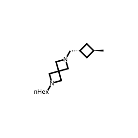 CCCCCCN1CC2(C1)CN(C[C@H]1C[C@H](C)C1)C2